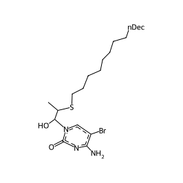 CCCCCCCCCCCCCCCCCCSC(C)C(O)n1cc(Br)c(N)nc1=O